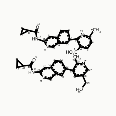 Cc1ccc(C(=O)O)c(-c2ccc3cc(NC(=O)C4CC4)ncc3c2)n1.Cc1ncc(CO)cc1-c1ccc2cc(NC(=O)C3CC3)ncc2c1